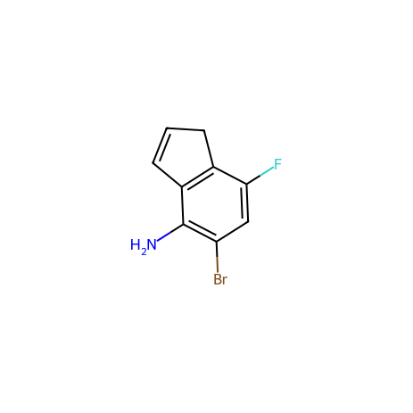 Nc1c(Br)cc(F)c2c1C=CC2